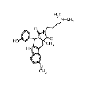 COc1ccc2[nH]c3c(c2c1)C[C@@]1(C)C(=O)N(CCCCN(C)C)C(=O)N1[C@@H]3c1cccc(O)c1